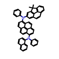 CC1(C)c2cccc3ccc4cc(N(c5ccccc5)c5ccc6ccc7c(N(c8ccccc8)c8cccc9ccccc89)ccc8ccc5c6c87)cc1c4c23